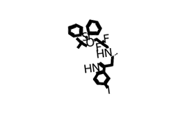 C[C@H](Cc1c[nH]c2ccc(I)cc12)NCC(F)(F)CO[Si](c1ccccc1)(c1ccccc1)C(C)(C)C